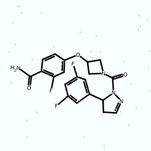 NC(=O)c1ccc(OC2CN(C(=O)N3N=CCC3c3cc(F)cc(F)c3)C2)cc1F